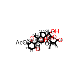 CC(=O)OC[C@]12CC[C@H]3[C@@H](CO[C@@]4(C)[C@@H](OC(C)=O)C=CC(=O)[C@]34C)[C@]1(O)CC[C@@]2(O)[C@@](C)(O)[C@H]1CC(C)=C(C)C(=O)O1